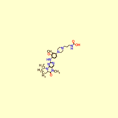 CCC1C(=O)N(C)c2cnc(Nc3ccc(N4CCN(CCCNC(=O)O)CC4)cc3OC)nc2N1C(C)C